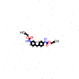 C#CCOC(=O)Nc1ccc(Cc2ccc(NC(=O)OCC#C)cc2)cc1